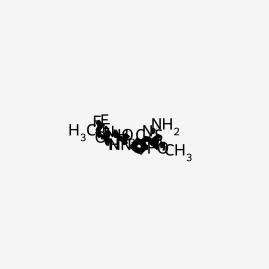 COC[C@]12CC1[C@@](C)(c1cc(NC(=O)c3cnc(OC(C)C(F)(F)F)cn3)ccc1F)N=C(N)S2